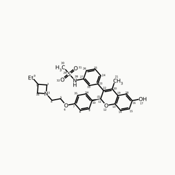 CCC1CN(CCOc2ccc([C@@H]3Oc4ccc(O)cc4C(C)=C3c3cccc(NS(C)(=O)=O)c3)cc2)C1